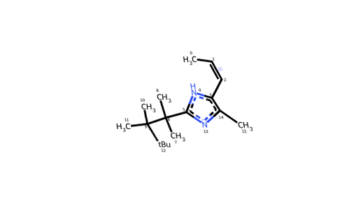 C/C=C\c1[nH]c(C(C)(C)C(C)(C)C(C)(C)C)nc1C